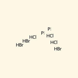 Br.Br.Br.Cl.Cl.Cl.[P].[P]